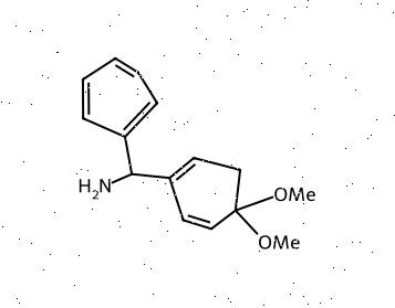 COC1(OC)C=CC(C(N)c2ccccc2)=CC1